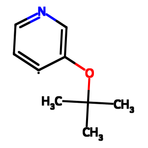 CC(C)(C)Oc1[c]ccnc1